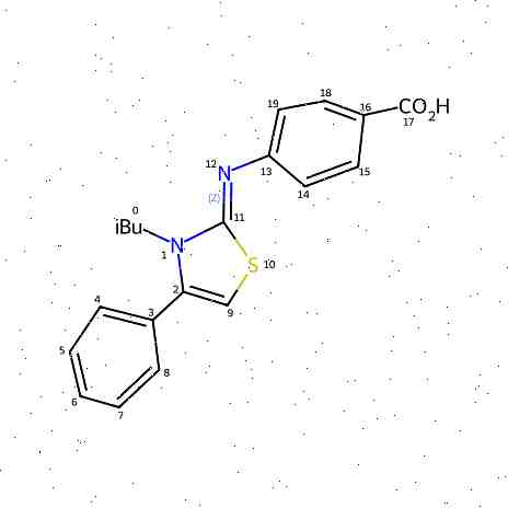 CCC(C)n1c(-c2ccccc2)cs/c1=N\c1ccc(C(=O)O)cc1